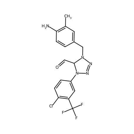 Cc1cc(CN2N=NN(c3ccc(Cl)c(C(F)(F)F)c3)C2C=O)ccc1N